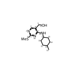 CSc1ncc(CO)c(NC2CCC(C)CC2)n1